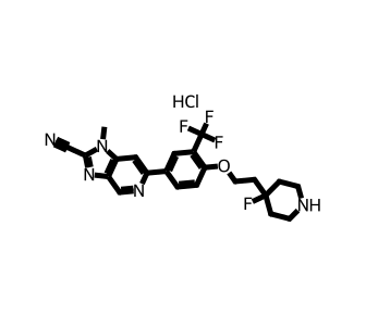 Cl.Cn1c(C#N)nc2cnc(-c3ccc(OCCC4(F)CCNCC4)c(C(F)(F)F)c3)cc21